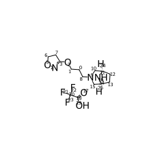 C(COC1=NOCC1)CN1C[C@H]2CC[C@@H](C1)N2.O=C(O)C(F)(F)F